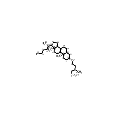 CCOC(=O)CN(C)CCO[C@H]1CC[C@@]2(C)C(=CCC3C2CC[C@@]2(C)C3CC[C@@H]2[C@H](C)CCCC(C)C)C1